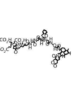 COC1=C(P(I)(CCC(=O)O)(CCC(=O)O)CCC(=O)O)CC(=O)N1CCCCCC(=O)NCC(=O)NCC(=O)N[C@@H](Cc1ccccc1)C(=O)NCC(=O)NCOCC(=O)N[C@H]1CCc2c(C)c(F)cc3nc4c(c1c23)Cn1c-4cc2c(c1=O)COC(=O)C2